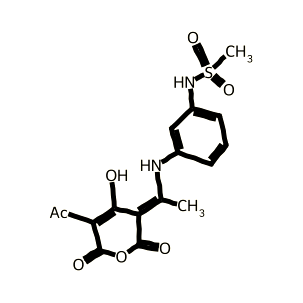 CC(=O)C1=C(O)C(=C(C)Nc2cccc(NS(C)(=O)=O)c2)C(=O)OC1=O